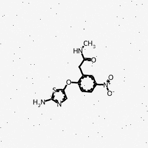 CNC(=O)Cc1cc([N+](=O)[O-])ccc1Oc1cnc(N)s1